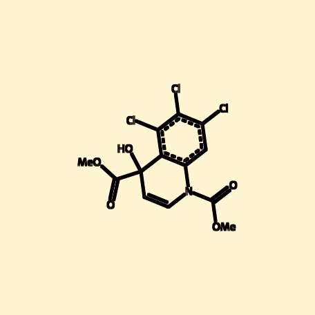 COC(=O)N1C=CC(O)(C(=O)OC)c2c1cc(Cl)c(Cl)c2Cl